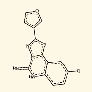 N=c1[nH]c2ccc(Cl)cc2c2nc(-c3ccoc3)nn12